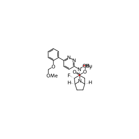 COCOc1ccccc1-c1ccc(N(C)[C@@H]2C[C@H]3CC[C@@H]([C@@H]2F)N3C(=O)OC(C)(C)C)nn1